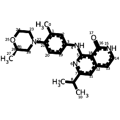 Cc1cc(Nc2nc(C(C)C)cc3cc[nH]c(=O)c23)ccc1N1CCO[C@H](C)C1